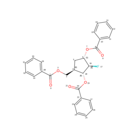 O=C(OC[C@H]1C[C@H](OC(=O)c2ccccc2)[C@@H](F)[C@@H]1OC(=O)c1ccccc1)c1ccccc1